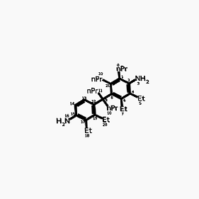 CCCc1c(N)c(CC)c(CC)c(C(CCC)(CCC)c2ccc(N)c(CC)c2CC)c1CCC